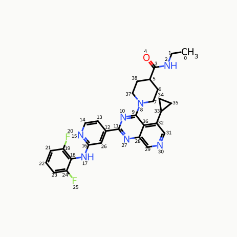 CCNC(=O)C1CCN(c2nc(-c3ccnc(Nc4c(F)cccc4F)c3)nc3cncc(C4CC4)c23)CC1